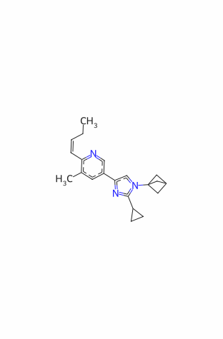 CC/C=C\c1ncc(-c2cn(C34CC(C3)C4)c(C3CC3)n2)cc1C